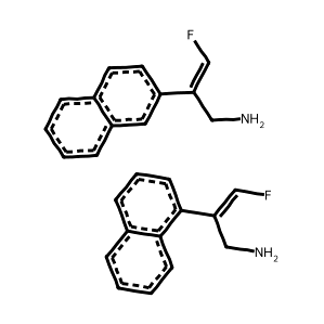 NC/C(=C/F)c1ccc2ccccc2c1.NC/C(=C\F)c1cccc2ccccc12